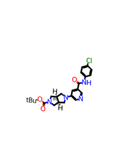 CC(C)(C)OC(=O)N1C[C@@H]2CN(c3cncc(C(=O)Nc4ccc(Cl)cc4)c3)C[C@@H]2C1